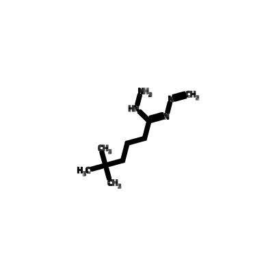 C=N/N=C(/CCCC(C)(C)C)NN